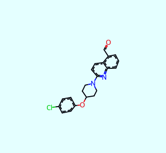 O=Cc1cccc2nc(N3CCC(Oc4ccc(Cl)cc4)CC3)ccc12